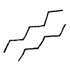 CCCCCC.CCCCCCC